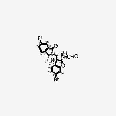 N[C@](CN1Cc2ccc(F)cc2C1=O)(C(=O)N(S)C=O)c1ccc(Br)cc1